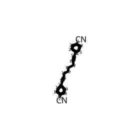 N#Cc1ccc(C#CCCCCC#Cc2ccc(C#N)cc2)cc1